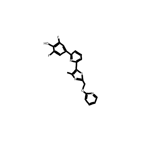 Cc1nc(COc2ccccn2)sc1-c1cccc(-c2cc(F)c(O)c(F)c2)n1